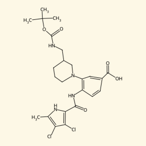 Cc1[nH]c(C(=O)Nc2ccc(C(=O)O)cc2N2CCCC(CNC(=O)OC(C)(C)C)C2)c(Cl)c1Cl